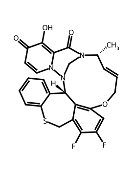 C[C@@H]1/C=C/COc2cc(F)c(F)c3c2[C@H](c2ccccc2SC3)N2CN1C(=O)c1c(O)c(=O)ccn12